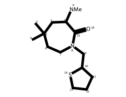 CNC1CC(C)(C)CCN(CC2CCCS2)C1=O